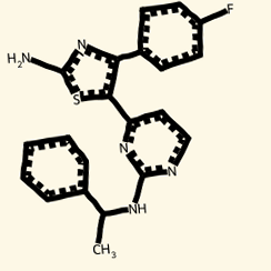 CC(Nc1nccc(-c2sc(N)nc2-c2ccc(F)cc2)n1)c1ccccc1